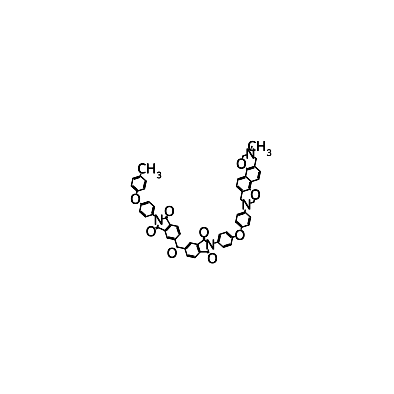 Cc1ccc(Oc2ccc(N3C(=O)c4ccc(C(=O)c5ccc6c(c5)C(=O)N(c5ccc(Oc7ccc(N8COc9c(ccc%10c%11c(ccc9%10)CN(C)CO%11)C8)cc7)cc5)C6=O)cc4C3=O)cc2)cc1